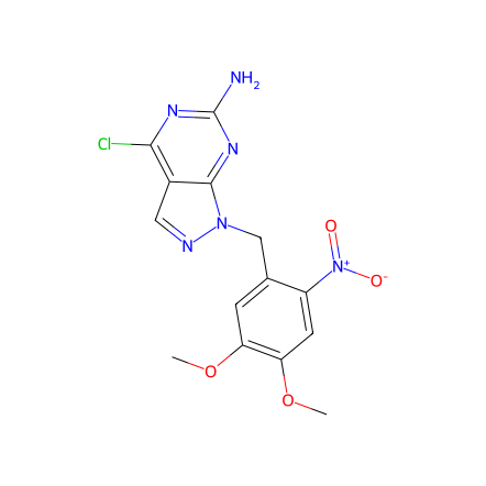 COc1cc(Cn2ncc3c(Cl)nc(N)nc32)c([N+](=O)[O-])cc1OC